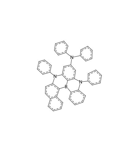 c1ccc(N(c2ccccc2)c2cc3c4c(c2)N(c2ccccc2)c2ccc5ccccc5c2B4c2ccccc2N3c2ccccc2)cc1